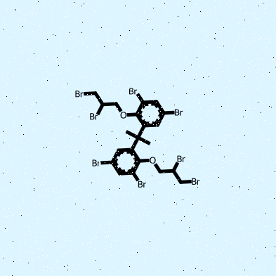 CC(C)(c1cc(Br)cc(Br)c1OCC(Br)CBr)c1cc(Br)cc(Br)c1OCC(Br)CBr